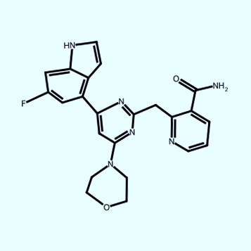 NC(=O)c1cccnc1Cc1nc(-c2cc(F)cc3[nH]ccc23)cc(N2CCOCC2)n1